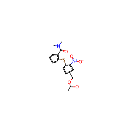 CC(=O)OCc1ccc(Sc2ccccc2C(=O)N(C)C)c([N+](=O)[O-])c1